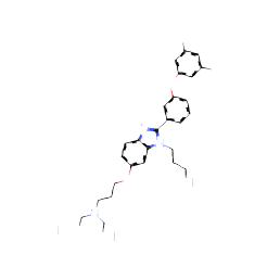 CCCCn1c(-c2cccc(Oc3cc(Cl)cc(Cl)c3)c2)nc2ccc(OCCCN(CC)CC)cc21